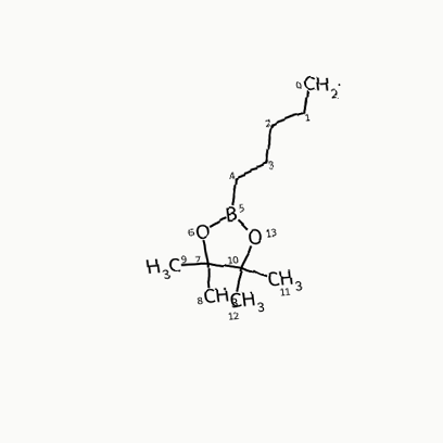 [CH2]CCCCB1OC(C)(C)C(C)(C)O1